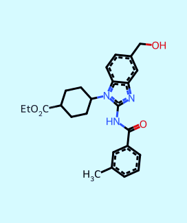 CCOC(=O)C1CCC(n2c(NC(=O)c3cccc(C)c3)nc3cc(CO)ccc32)CC1